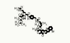 CC[C@@]1(OC(=O)CC(C)(C)CNC(=O)OCc2ccc(NC(=O)[C@H](CCCNC(N)=O)NC(=O)[C@@H](NC(=O)OC(C)(C)C)C(C)C)cc2)C(=O)OCc2c1cc1n(c2=O)Cc2cc3c(Br)cccc3nc2-1